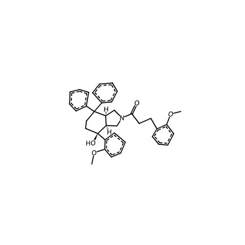 COc1ccccc1CCC(=O)N1C[C@@H]2[C@H](C1)C(c1ccccc1)(c1ccccc1)CC[C@@]2(O)c1ccccc1OC